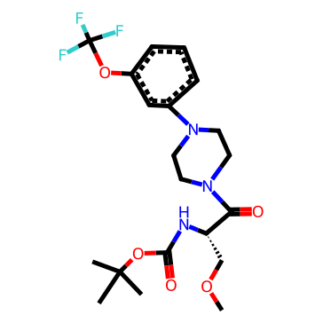 COC[C@H](NC(=O)OC(C)(C)C)C(=O)N1CCN(c2cccc(OC(F)(F)F)c2)CC1